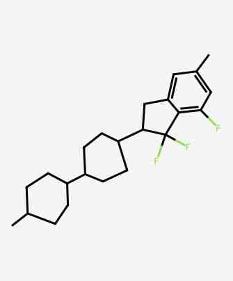 Cc1cc(F)c2c(c1)CC(C1CCC(C3CCC(C)CC3)CC1)C2(F)F